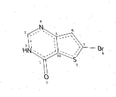 O=c1[nH][c]nc2cc(Br)sc12